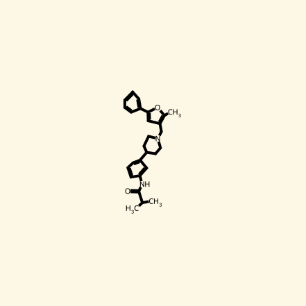 Cc1oc(-c2ccccc2)cc1CN1CCC(c2cccc(NC(=O)C(C)C)c2)CC1